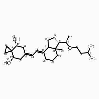 CCC(CC)CCO[C@H](C)[C@H]1CCC2/C(=C/C=C3C[C@@H](O)C4(CC4)[C@H](O)C3)CCCC21C